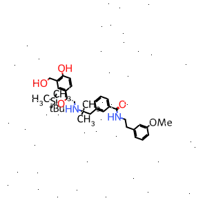 COc1cccc(CCNC(=O)c2cccc(CC(C)(C)NC[C@H](O[Si](C)(C)C(C)(C)C)c3ccc(O)c(CO)c3)c2)c1